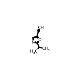 C#Cc1cnc(C(C)C)o1